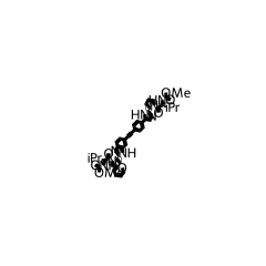 COC(=O)N[C@H](C(=O)N1CCC[C@H]1c1ncc(-c2ccc(C#Cc3ccc4nc([C@@H]5C[C@@]6(CC=CCO6)CN5C(=O)[C@@H](NC(=O)OC)C(C)C)[nH]c4c3)cc2)[nH]1)C(C)C